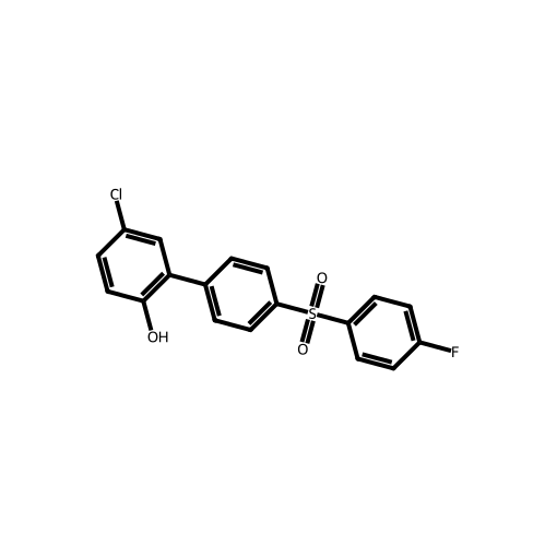 O=S(=O)(c1ccc(F)cc1)c1ccc(-c2cc(Cl)ccc2O)cc1